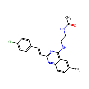 CC(=O)NCCNc1nc(/C=C/c2ccc(Cl)cc2)nc2ccc(C)cc12